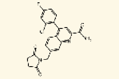 NC(=O)c1cc(-c2ccc(F)cc2Cl)c2ccc(CN3C(=O)CCC3=O)cc2n1